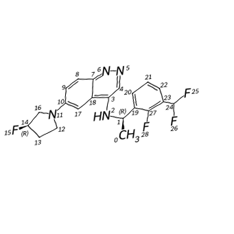 C[C@@H](Nc1cnnc2ccc(N3CC[C@@H](F)C3)cc12)c1cccc(C(F)F)c1F